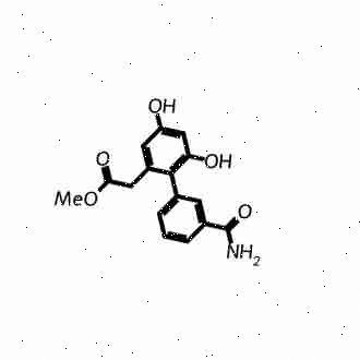 COC(=O)Cc1cc(O)cc(O)c1-c1cccc(C(N)=O)c1